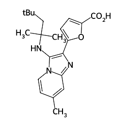 Cc1ccn2c(NC(C)(C)CC(C)(C)C)c(-c3ccc(C(=O)O)o3)nc2c1